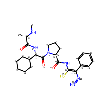 CN[C@@H](C)C(=O)N[C@H](C(=O)N1CCC[C@H]1C(=O)N/C(S)=C(/N=N)c1ccccc1)C1CCCCC1